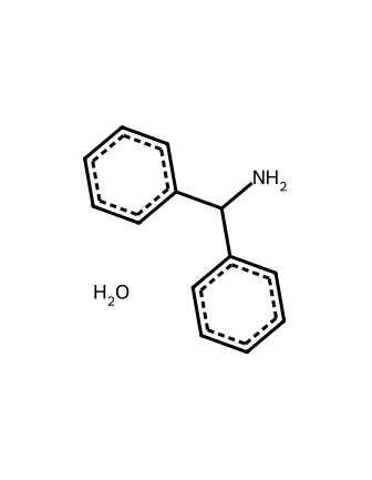 NC(c1ccccc1)c1ccccc1.O